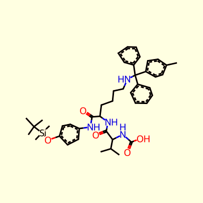 Cc1ccc(C(NCCCCC(NC(=O)C(NC(=O)O)C(C)C)C(=O)Nc2ccc(O[Si](C)(C)C(C)(C)C)cc2)(c2ccccc2)c2ccccc2)cc1